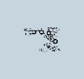 CC1COc2ccccc2N1C(=O)C(Cl)Cl.CCOCN(C(=O)CCl)c1c(C)cccc1CC.CP(=O)(O)CCC(N)C(=O)O.O=C(O)c1cc(Oc2ccc(C(F)(F)F)cc2Cl)ccc1[N+](=O)[O-]